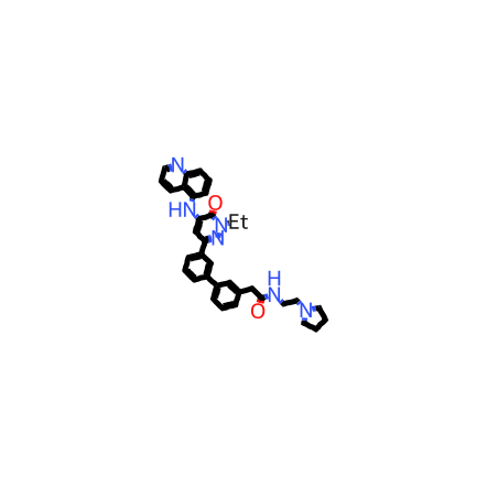 CCn1nc(-c2cccc(-c3cccc(CC(=O)NCCN4CCCC4)c3)c2)cc(Nc2cccc3ncccc23)c1=O